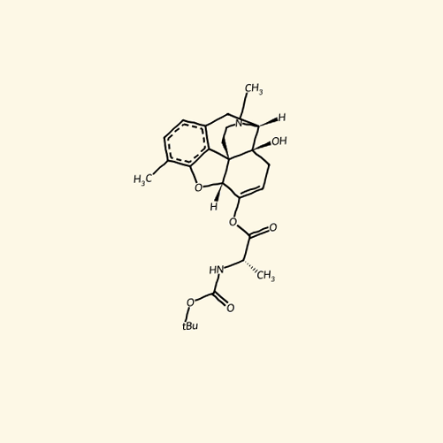 Cc1ccc2c3c1O[C@H]1C(OC(=O)[C@H](C)NC(=O)OC(C)(C)C)=CC[C@@]4(O)[C@@H](C2)N(C)CC[C@]314